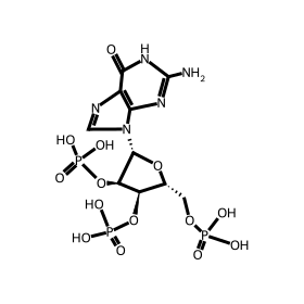 Nc1nc2c(ncn2[C@@H]2O[C@H](COP(=O)(O)O)[C@@H](OP(=O)(O)O)[C@H]2OP(=O)(O)O)c(=O)[nH]1